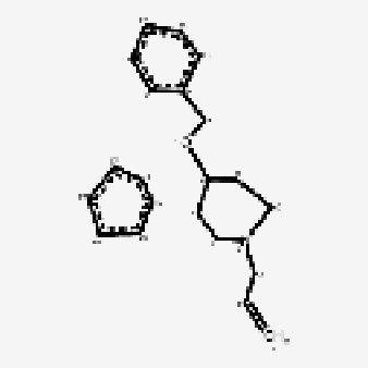 C=CCN1CCC(OCc2ccccc2)CC1.[c]1ccccc1